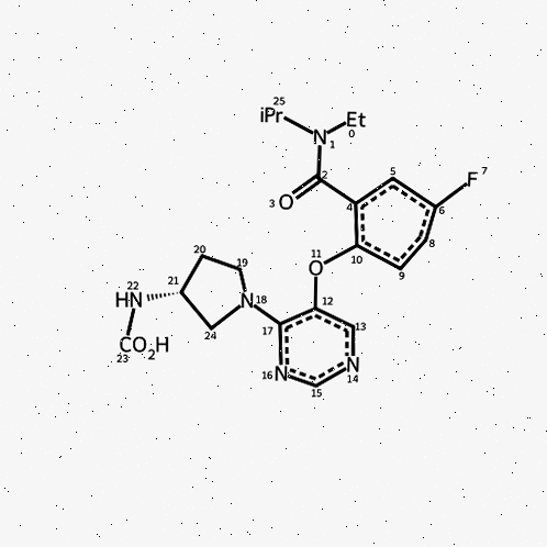 CCN(C(=O)c1cc(F)ccc1Oc1cncnc1N1CC[C@@H](NC(=O)O)C1)C(C)C